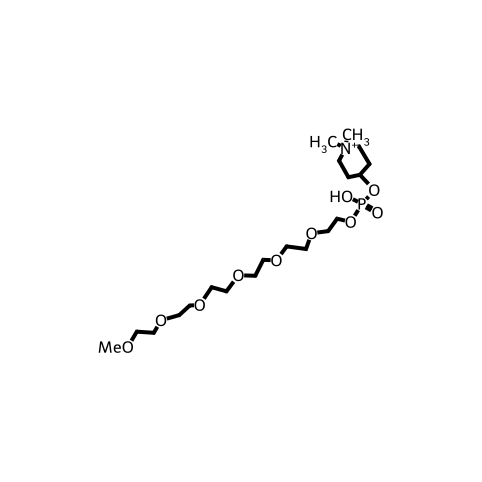 COCCOCCOCCOCCOCCOCCOP(=O)(O)OC1CC[N+](C)(C)CC1